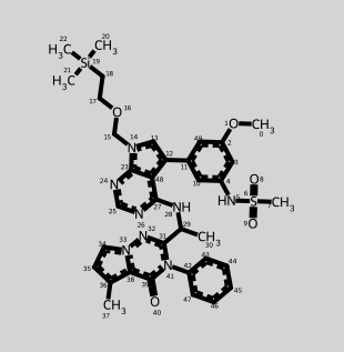 COc1cc(NS(C)(=O)=O)cc(-c2cn(COCC[Si](C)(C)C)c3ncnc(NC(C)c4nn5ccc(C)c5c(=O)n4-c4ccccc4)c23)c1